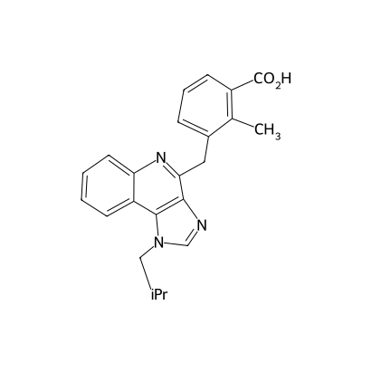 Cc1c(Cc2nc3ccccc3c3c2ncn3CC(C)C)cccc1C(=O)O